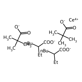 CC(C)(C)C(=O)[O-].CC(C)(C)C(=O)[O-].CCCCC(CC)C(=O)[O-].CCCCC(CC)C(=O)[O-].[Ce+4]